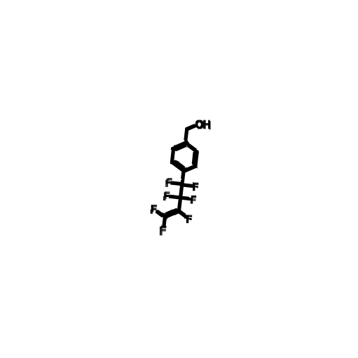 OCc1ccc(C(F)(F)C(F)(F)C(F)=C(F)F)cc1